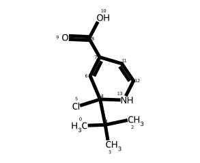 CC(C)(C)C1(Cl)C=C(C(=O)O)C=CN1